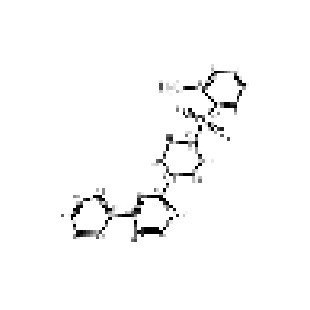 Cc1ccccc1S(=O)(=O)N1CCN(c2cc(-c3ccccc3)ncn2)CC1